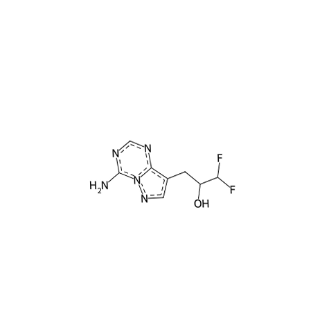 Nc1ncnc2c(CC(O)C(F)F)cnn12